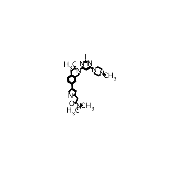 CC1Cc2ccc(C3=CC(CC(=O)N(C)C)N=C3)cc2CN1c1cc(N2CCN(C)CC2)nc(I)n1